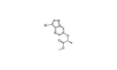 COC(=O)[C@H](C)Oc1cnc2c(Br)cnn2c1